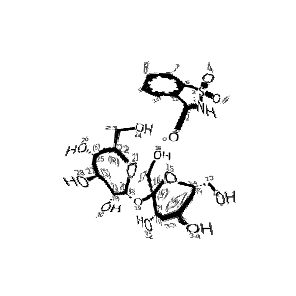 O=C1NS(=O)(=O)c2ccccc21.OC[C@H]1O[C@@](CO)(O[C@H]2O[C@H](CO)[C@@H](O)[C@H](O)[C@H]2O)[C@@H](O)[C@@H]1O